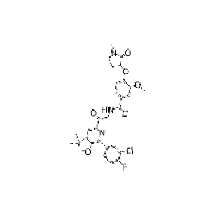 COc1cc(C(=O)NCC(=O)c2cc3c(c(-c4ccc(F)c(Cl)c4)n2)OCC3(C)C)ccc1OC1CCN(C)C1=O